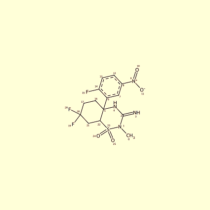 CN1C(=N)NC2(c3cc([N+](=O)[O-])ccc3F)CCC(F)(F)CC2S1(=O)=O